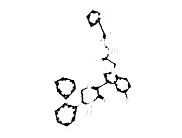 O=C(Cn1cc(C2=N[C@@H](c3ccccc3)[C@H](c3ccccc3)NC2=O)c2cc(Br)ccc21)N/N=C/c1cccs1